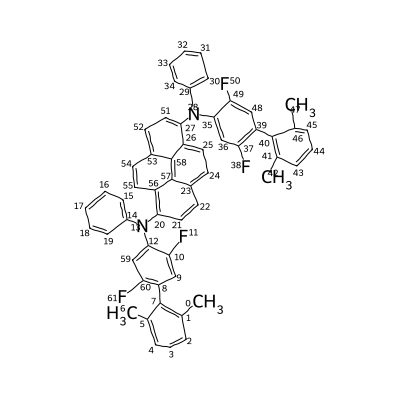 Cc1cccc(C)c1-c1cc(F)c(N(c2ccccc2)c2ccc3ccc4c(N(c5ccccc5)c5cc(F)c(-c6c(C)cccc6C)cc5F)ccc5ccc2c3c54)cc1F